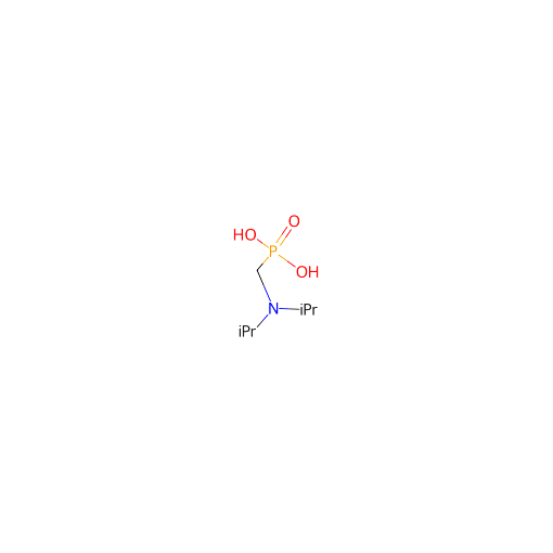 CC(C)N(CP(=O)(O)O)C(C)C